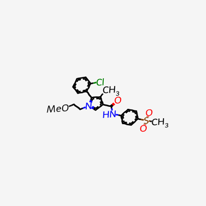 COCCn1cc(C(=O)Nc2ccc(S(C)(=O)=O)cc2)c(C)c1-c1ccccc1Cl